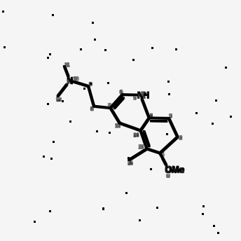 COC1CC=C2NC=C(CCN(C)C)CC2=C1C